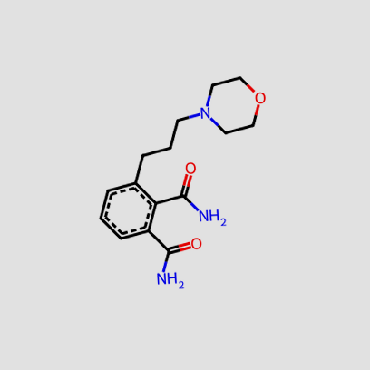 NC(=O)c1cccc(CCCN2CCOCC2)c1C(N)=O